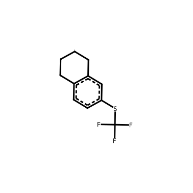 FC(F)(F)Sc1ccc2c(c1)C[CH]CC2